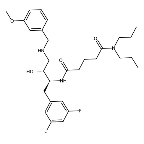 CCCN(CCC)C(=O)CCCC(=O)N[C@@H](Cc1cc(F)cc(F)c1)[C@H](O)CNCc1cccc(OC)c1